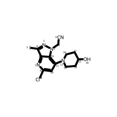 N#CCn1nc(I)c2nc(Cl)cc(N3CCC(O)CC3)c21